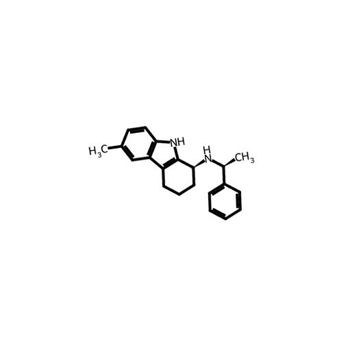 Cc1ccc2[nH]c3c(c2c1)CCC[C@@H]3N[C@@H](C)c1ccccc1